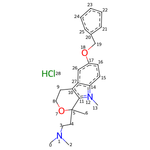 CN(C)CCC1(C)OCCc2c1n(C)c1ccc(OCc3ccccc3)cc21.Cl